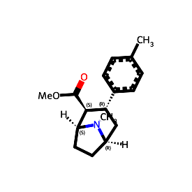 COC(=O)[C@H]1[C@H](c2ccc(C)cc2)C[C@H]2CC[C@@H]1N2C